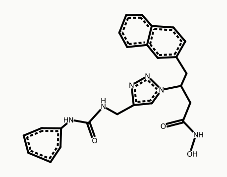 O=C(CC(Cc1ccc2ccccc2c1)n1cc(CNC(=O)Nc2ccccc2)nn1)NO